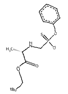 C[C@H](NCP(=S)(Cl)Oc1ccccc1)C(=O)OCC(C)(C)C